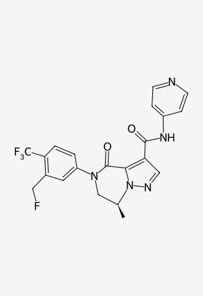 C[C@H]1CN(c2ccc(C(F)(F)F)c(CF)c2)C(=O)c2c(C(=O)Nc3ccncc3)cnn21